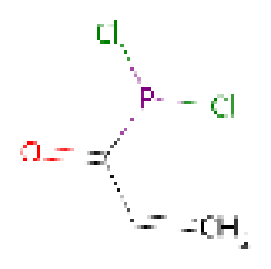 C=CC(=O)P(Cl)Cl